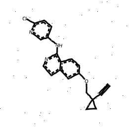 C#CC1(COc2ccc3c(Nc4ccc(Cl)nc4)nccc3c2)CC1